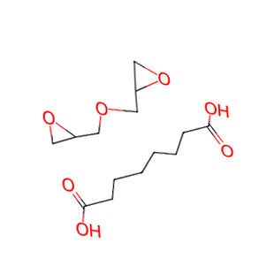 C(OCC1CO1)C1CO1.O=C(O)CCCCCCC(=O)O